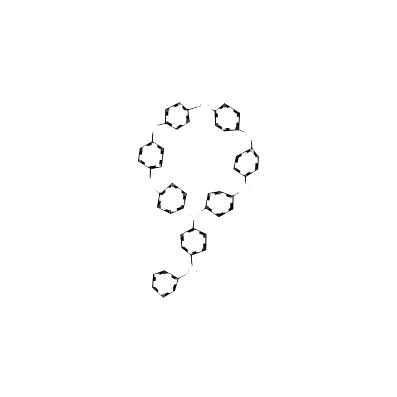 c1ccc(Oc2ccc(Oc3ccc(Oc4ccc(Oc5ccc(Oc6ccc(Oc7ccc(Oc8ccccc8)cc7)cc6)cc5)cc4)cc3)cc2)cc1